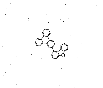 c1ccc2c(c1)oc1cccc(-c3ccc4c5ccccc5c5ccccc5c4c3)c12